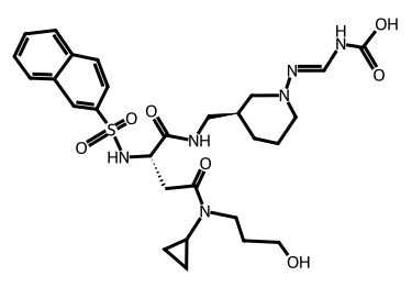 O=C(O)N/C=N/N1CCC[C@@H](CNC(=O)[C@H](CC(=O)N(CCCO)C2CC2)NS(=O)(=O)c2ccc3ccccc3c2)C1